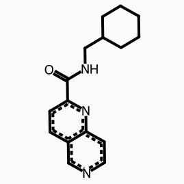 O=C(NCC1CCCCC1)c1ccc2cnccc2n1